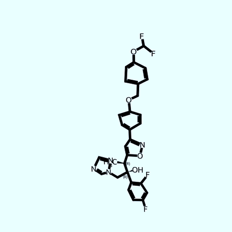 C[C@@H](c1cc(-c2ccc(OCc3ccc(OC(F)F)cc3)cc2)no1)[C@](O)(Cn1cncn1)c1ccc(F)cc1F